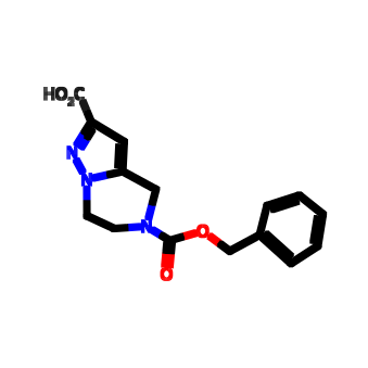 O=C(O)c1cc2n(n1)CCN(C(=O)OCc1ccccc1)C2